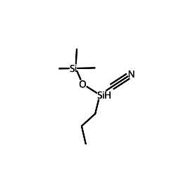 CCC[SiH](C#N)O[Si](C)(C)C